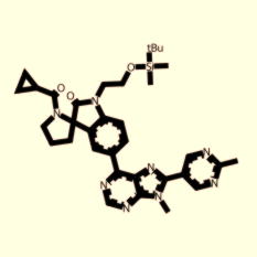 Cc1ncc(-c2nc3c(-c4ccc5c(c4)C4(CCCN4C(=O)C4CC4)C(=O)N5CCO[Si](C)(C)C(C)(C)C)ncnc3n2C)cn1